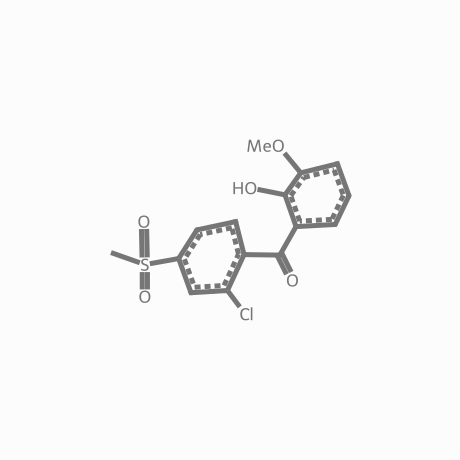 COc1cccc(C(=O)c2ccc(S(C)(=O)=O)cc2Cl)c1O